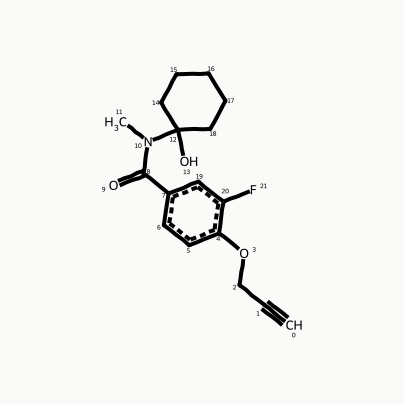 C#CCOc1ccc(C(=O)N(C)C2(O)CCCCC2)cc1F